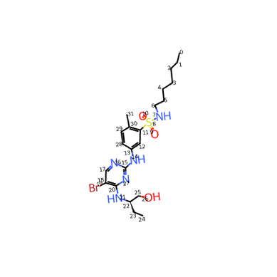 CCCCCCCNS(=O)(=O)c1cc(Nc2ncc(Br)c(N[C@H](CC)CO)n2)ccc1C